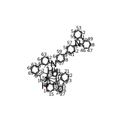 C[C@H]1C[C@@H]2CC(C)(C)C[C@H](C1)C21c2ccccc2C2(c3ccccc3-c3ccccc32)c2ccc(N(c3ccc(-c4ccc(-n5c6ccccc6c6ccccc65)cc4)cc3)c3cccc(-c4ccccc4)c3)cc21